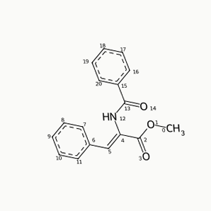 COC(=O)/C(=C/c1ccccc1)NC(=O)c1ccccc1